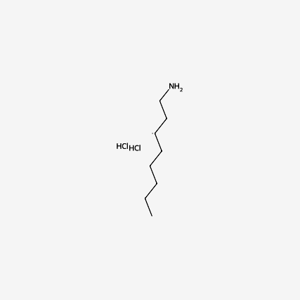 CCCCC[CH]CCN.Cl.Cl